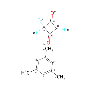 Cc1cc(C)cc(C)c1.O=C1C(F)C(=O)C1(F)F